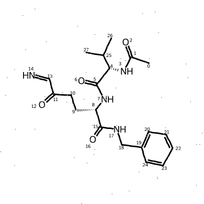 CC(=O)N[C@H](C(=O)N[C@@H](CCC(=O)C=N)C(=O)NCc1ccccc1)C(C)C